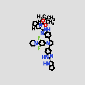 CC(C)(C)OC(=O)N1[C@H](c2nc3cc([C@H]4CCC(c5ccc6[nH]c([C@@H]7CC8CCCC8N7)nc6c5)N4c4cc(F)c(N5CCCCC5)c(F)c4)ccc3[nH]2)C[C@@H]2CCC[C@@H]21